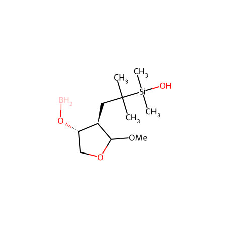 BO[C@H]1COC(OC)[C@@H]1CC(C)(C)[Si](C)(C)O